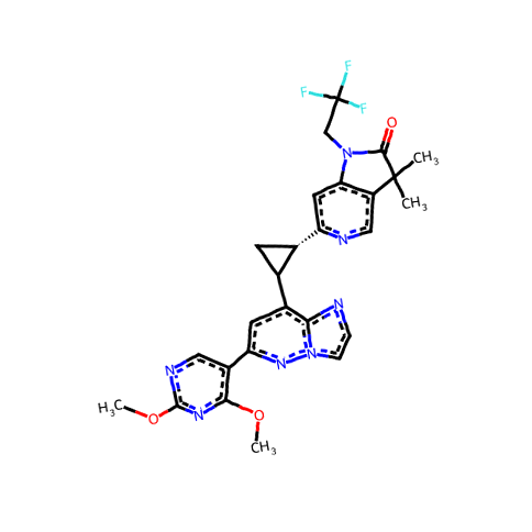 COc1ncc(-c2cc(C3C[C@@H]3c3cc4c(cn3)C(C)(C)C(=O)N4CC(F)(F)F)c3nccn3n2)c(OC)n1